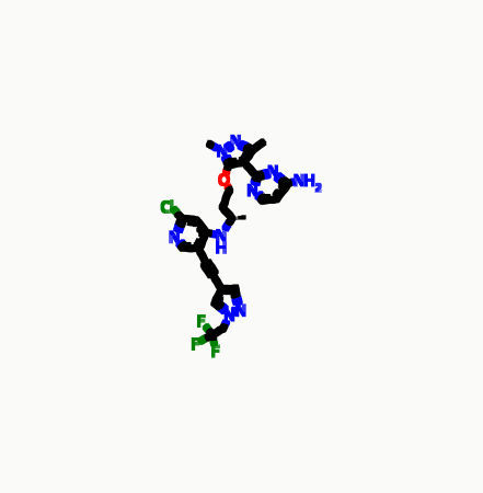 Cc1nn(C)c(OCC[C@H](C)Nc2cc(Cl)ncc2C#Cc2cnn(CC(F)(F)F)c2)c1-c1nccc(N)n1